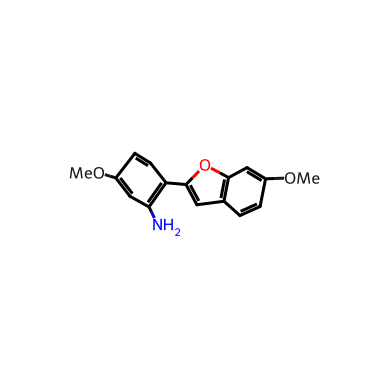 COc1ccc(-c2cc3ccc(OC)cc3o2)c(N)c1